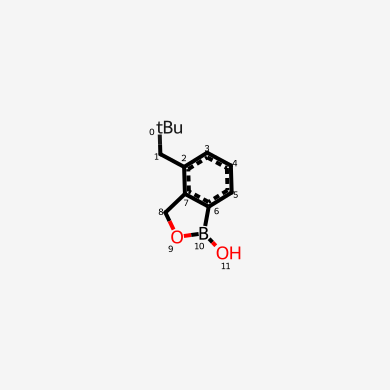 CC(C)(C)Cc1cccc2c1COB2O